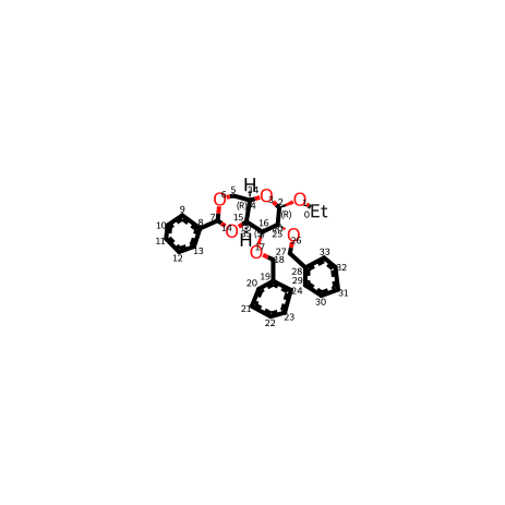 CCO[C@@H]1O[C@@H]2COC(c3ccccc3)O[C@@H]2[C@H](OCc2ccccc2)[C@H]1OCc1ccccc1